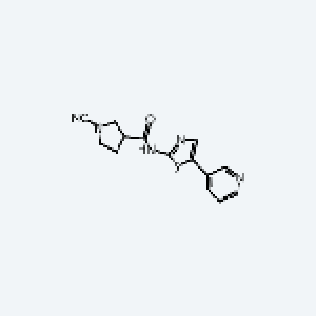 N#CN1CCC(C(=O)Nc2ncc(-c3cccnc3)s2)C1